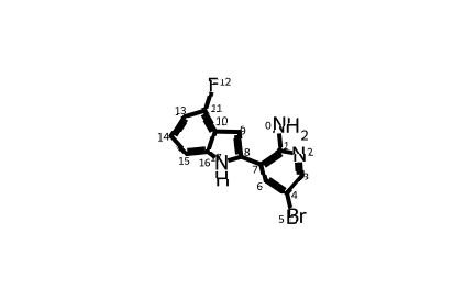 Nc1ncc(Br)cc1-c1cc2c(F)cccc2[nH]1